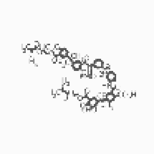 C=C(C)C(=O)OCCOC(=O)c1cc(C(C)(c2ccc(C(=O)O)c(C(=O)Nc3cccc(S(=O)(=O)c4cccc(NC(=O)c5cc(C(C)(c6ccc(C(=O)O)c(C(=O)OCCOC(=O)C(=C)C)c6)C(F)(F)F)ccc5OC=O)c4)c3)c2)C(F)(F)F)ccc1OC=O